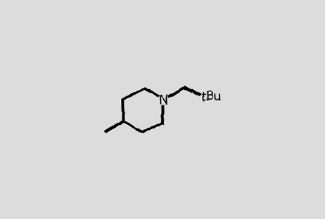 CC1CCN(CC(C)(C)C)CC1